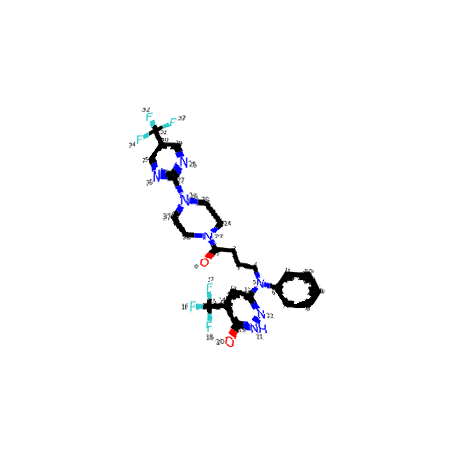 O=C(CCCN(c1ccccc1)c1cc(C(F)(F)F)c(=O)[nH]n1)N1CCN(c2ncc(C(F)(F)F)cn2)CC1